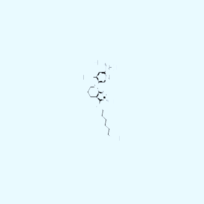 CCCCCCCOc1c2c(nn1C)N(c1cnc(N(C)C)cc1C)CCC2